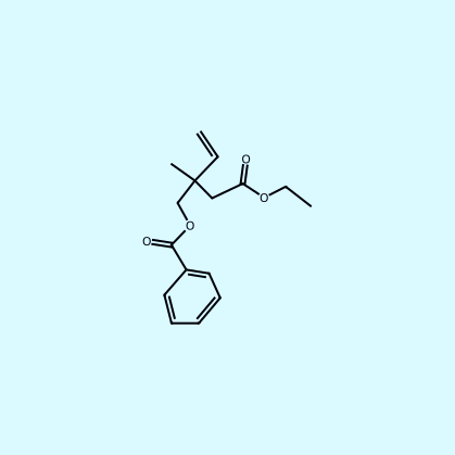 C=CC(C)(COC(=O)c1ccccc1)CC(=O)OCC